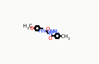 COc1ccc(CNC(=O)CN(N)C(=O)c2ccc(C)cc2N)cc1